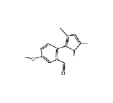 COc1ccc(C2=C(C)C=C(C)C2C)c(C=O)c1